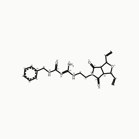 C=CC1OC(C=C)C2C(=O)N(CCN/C(N)=N/C(=O)NCc3ccccc3)C(=O)C12